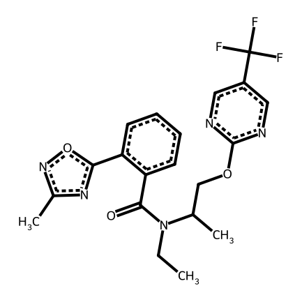 CCN(C(=O)c1ccccc1-c1nc(C)no1)C(C)COc1ncc(C(F)(F)F)cn1